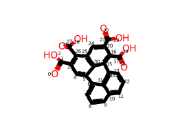 O=C(O)c1cc2c3cccc4cccc(c5c(C(=O)O)c(C(=O)O)cc(c1C(=O)O)c25)c43